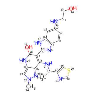 C[C@H](NC1=C(c2nc3ccc(NCCO)cc3[nH]2)C(O)Nc2cn(C)nc21)c1cscn1